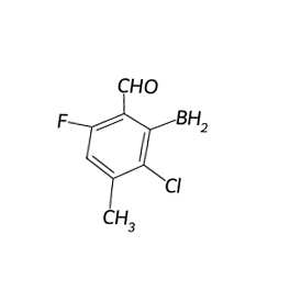 Bc1c(Cl)c(C)cc(F)c1C=O